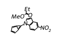 CCC(=O)OC.O=[N+]([O-])c1ccc2c(ccn2-c2c3cccc2-3)c1